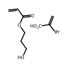 C=C(C(=O)O)C(C)C.C=CC(=O)OCCCO